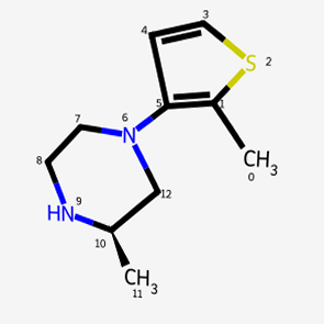 Cc1sccc1N1CCN[C@H](C)C1